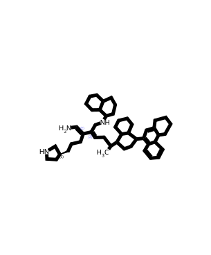 CC(C/C=C(CNC1CCCC2CCCCC21)/C(=C/N)CCC[C@H]1CCNC1)C1CCC(C2=C3C=CC=CC3C3CCCCC3=C2)C2CCCCC12